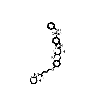 O=C(CCCOc1ccc(C[C@H](Nc2nc3cc(S(=O)(=O)Nc4ccccc4)ccc3o2)C(=O)O)cc1)NC1=NCCCN1